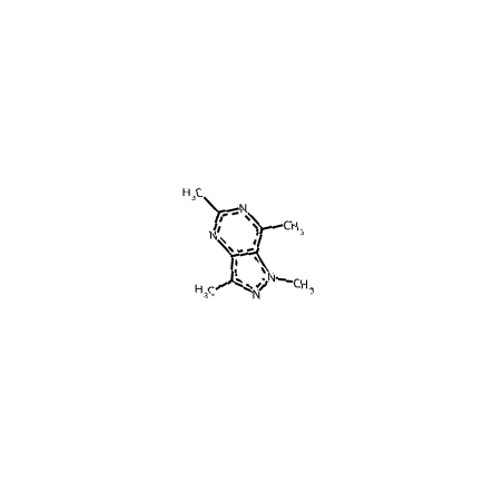 Cc1nc(C)c2c(n1)c(C)nn2C